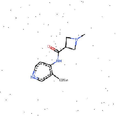 COc1cnccc1NC(=O)C1CN(C)C1